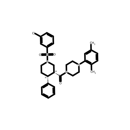 Cc1ccc(C)c(N2CCN(C(=O)[C@H]3CN(S(=O)(=O)c4cccc(Cl)c4)CC[C@H]3c3ccccc3)CC2)c1